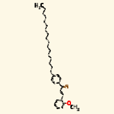 CCCCCCCCCCCCCCCCCc1ccc(C(=S)C=Cc2ccccc2OC)cc1